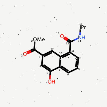 COC(=O)c1cc(O)c2cccc(C(=O)NC(C)C)c2c1